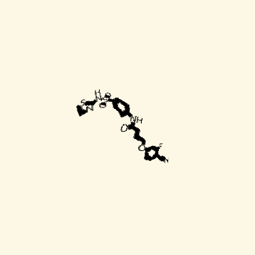 N#Cc1ccc(OCCCC(=O)Nc2ccc(S(=O)(=O)Nc3nccs3)cc2)cc1F